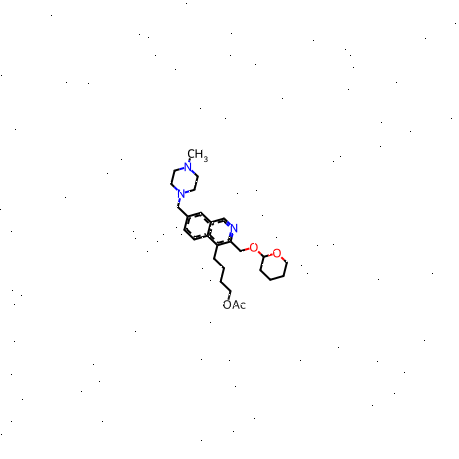 CC(=O)OCCCCc1c(COC2CCCCO2)ncc2cc(CN3CCN(C)CC3)ccc12